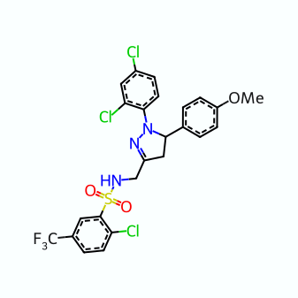 COc1ccc(C2CC(CNS(=O)(=O)c3cc(C(F)(F)F)ccc3Cl)=NN2c2ccc(Cl)cc2Cl)cc1